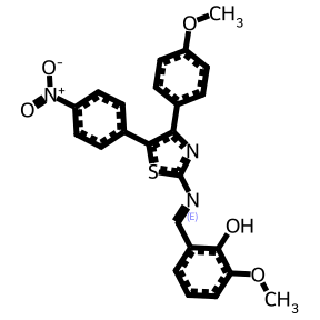 COc1ccc(-c2nc(/N=C/c3cccc(OC)c3O)sc2-c2ccc([N+](=O)[O-])cc2)cc1